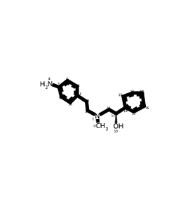 CN(CCc1ccc(N)cc1)C[C@H](O)c1ccccc1